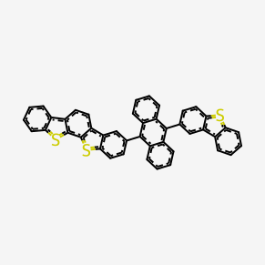 c1ccc2c(c1)sc1ccc(-c3c4ccccc4c(-c4ccc5sc6c(ccc7c8ccccc8sc76)c5c4)c4ccccc34)cc12